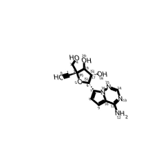 C#C[C@]1(CO)O[C@@H](c2ccc3c(N)ncnn23)[C@@H](O)C1O